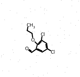 CCCOc1c(Cl)cc(Cl)cc1C=O